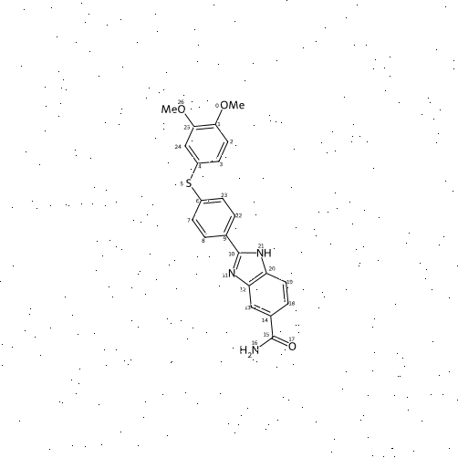 COc1ccc(Sc2ccc(-c3nc4cc(C(N)=O)ccc4[nH]3)cc2)cc1OC